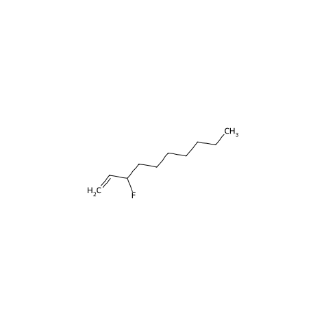 C=CC(F)CCCCCCC